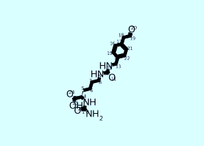 NC(=O)N[C@@H](CCCCNC(=O)NCc1ccc(CC=O)cc1)C(=O)O